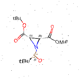 COC(=O)[C@H]1[C@@H](C(=O)OC(C)(C)C)N1[S@@+]([O-])C(C)(C)C